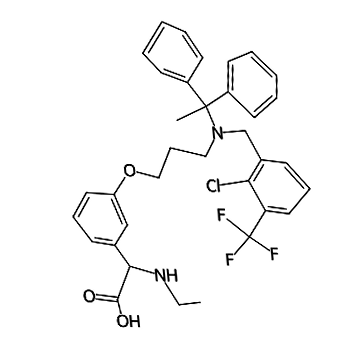 CCNC(C(=O)O)c1cccc(OCCCN(Cc2cccc(C(F)(F)F)c2Cl)C(C)(c2ccccc2)c2ccccc2)c1